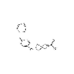 O=C([O-])N1CC2(CC(Oc3cc[n+](Cc4ccccc4)cc3)C2)C1